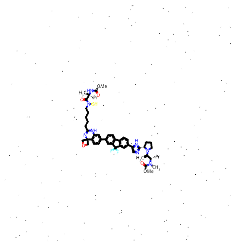 C=C([C@H](C(C)C)N(C)C(=O)OC)N1CCC[C@H]1c1ncc(-c2ccc3c(c2)C(F)(F)c2cc(-c4ccc5c(c4)NC(CCCCCN(S)C(=O)[C@@](C)(NC(=O)OC)C(C)C)=NC54COC4)ccc2-3)[nH]1